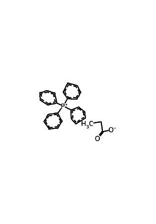 CCC(=O)[O-].c1ccc([P+](c2ccccc2)(c2ccccc2)c2ccccc2)cc1